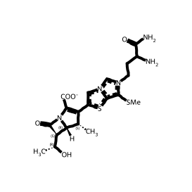 CSc1c2sc(C3=C(C(=O)[O-])N4C(=O)[C@H]([C@@H](C)O)[C@H]4[C@H]3C)c[n+]2cn1CCC(N)C(N)=O